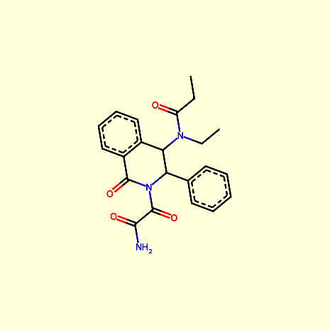 CCC(=O)N(CC)C1c2ccccc2C(=O)N(C(=O)C(N)=O)C1c1ccccc1